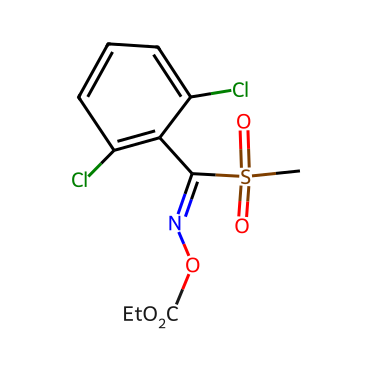 CCOC(=O)ON=C(c1c(Cl)cccc1Cl)S(C)(=O)=O